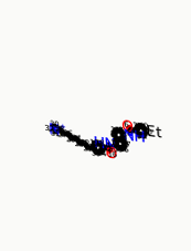 CCc1ccc(C(=O)Nc2cccc3c(NC(=O)c4ccc(CCCCCCCC[N+](C)(C)C)cc4)cccc23)cc1